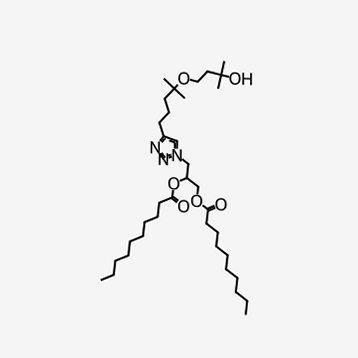 CCCCCCCCCC(=O)OCC(Cn1cc(CCCC(C)(C)OCCC(C)(C)O)nn1)OC(=O)CCCCCCCCC